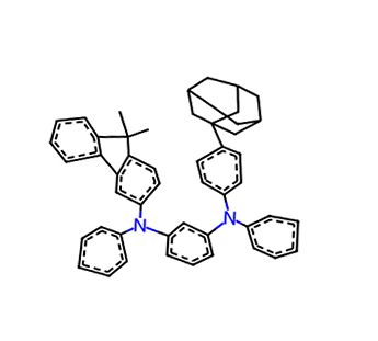 CC1(C)c2ccccc2-c2cc(N(c3ccccc3)c3cccc(N(c4ccccc4)c4ccc(C56CC7CC(CC(C7)C5)C6)cc4)c3)ccc21